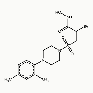 Cc1ccc(N2CCN(S(=O)(=O)CC(C(=O)NO)C(C)C)CC2)c(C)c1